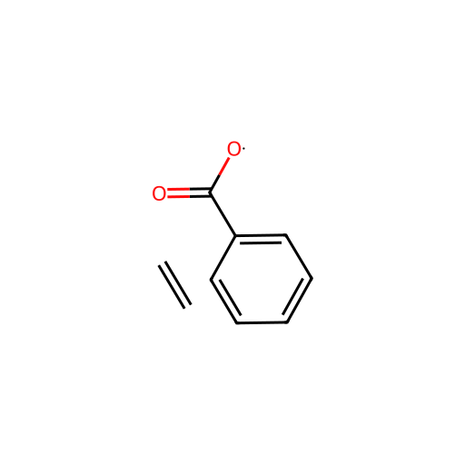 C=C.[O]C(=O)c1ccccc1